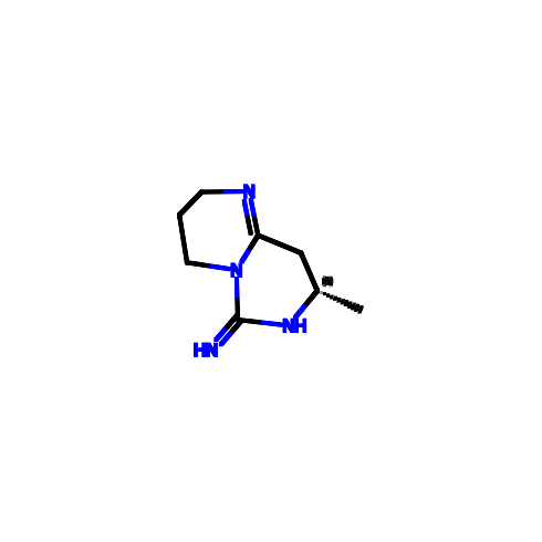 C[C@H]1CC2=NCCCN2C(=N)N1